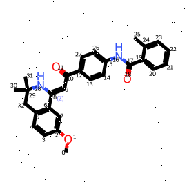 COc1ccc2c(c1)/C(=C/C(=O)c1ccc(NC(=O)c3ccccc3C)cc1)NC(C)(C)C2